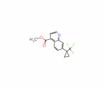 COC(=O)c1ccnc2cc(C3(C(F)(F)F)CC3)ccc12